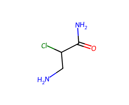 NCC(Cl)C(N)=O